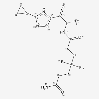 CC[C@H](NC(=O)[CH]CC(F)(F)CCC(N)=O)C(=O)c1nc(C2CC2)no1